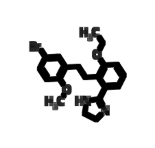 CCOc1cccc(C2=NCCN2)c1CCc1cc(Br)ccc1OC